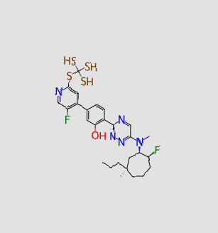 CCC[C@]1(C)CCC[C@H](F)[C@H](N(C)c2cnc(-c3ccc(-c4cc(SC(S)(S)S)ncc4F)cc3O)nn2)C1